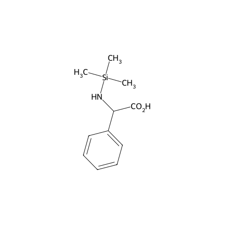 C[Si](C)(C)NC(C(=O)O)c1ccccc1